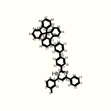 Cc1cccc(C2C=C(c3ccccc3)N=C(c3ccc(-c4cccc(-c5cccc6c5-c5ccccc5C65c6ccccc6-c6ccccc65)c4)cc3)N2)c1